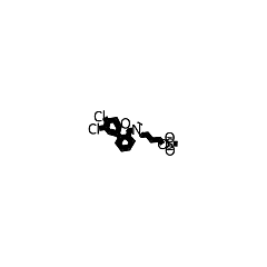 CN(CCCCOS(C)(=O)=O)C(=O)c1ccccc1-c1ccc(Cl)c(Cl)c1